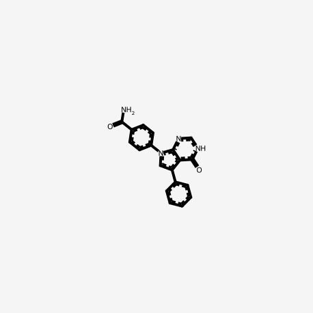 NC(=O)c1ccc(-n2cc(-c3ccccc3)c3c(=O)[nH]cnc32)cc1